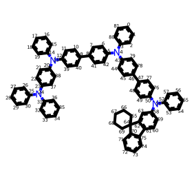 c1ccc(N(c2ccc(-c3ccc(N(c4ccccc4)c4ccc(N(c5ccccc5)c5ccccc5)cc4)cc3)cc2)c2ccc(-c3ccc(N(c4ccccc4)c4ccc5c(c4)C4(CCCCC4)c4ccccc4-5)cc3)cc2)cc1